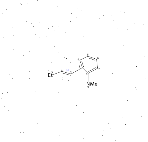 CC/C=C/c1ccccc1NC